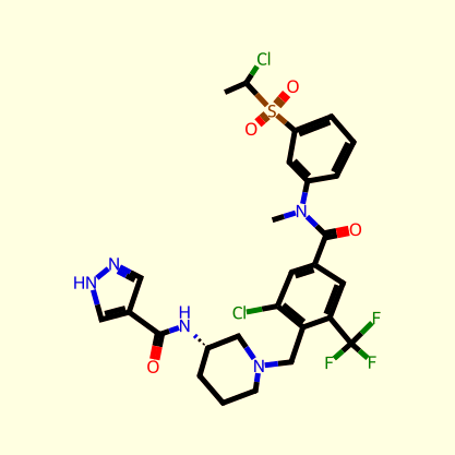 CC(Cl)S(=O)(=O)c1cccc(N(C)C(=O)c2cc(Cl)c(CN3CCC[C@H](NC(=O)c4cn[nH]c4)C3)c(C(F)(F)F)c2)c1